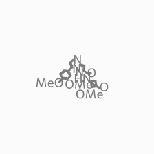 COC(=O)C12CC(NC(=O)c3cc4nccc(-c5ccc(OC)c(OC)c5)n4n3)(C1)C2